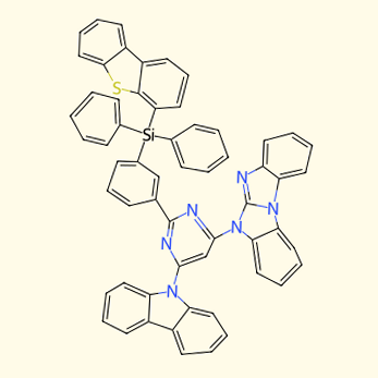 c1ccc([Si](c2ccccc2)(c2cccc(-c3nc(-n4c5ccccc5c5ccccc54)cc(-n4c5ccccc5n5c6ccccc6nc45)n3)c2)c2cccc3c2sc2ccccc23)cc1